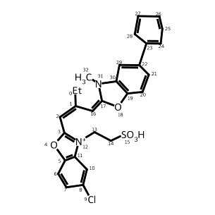 CCC(=Cc1oc2ccc(Cl)cc2[n+]1CCS(=O)(=O)O)C=C1Oc2ccc(-c3ccccc3)cc2N1C